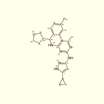 Cc1nc(Nc2cc(C3CC3)[nH]n2)nc(NC(c2ccc(F)cc2)C2CCOC2)n1